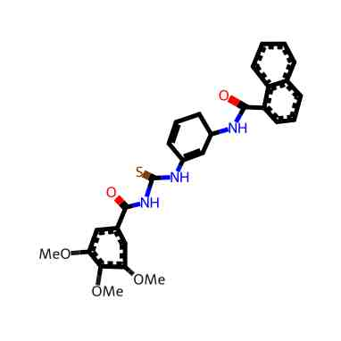 COc1cc(C(=O)NC(=S)NC2=CC(NC(=O)c3cccc4ccccc34)CC=C2)cc(OC)c1OC